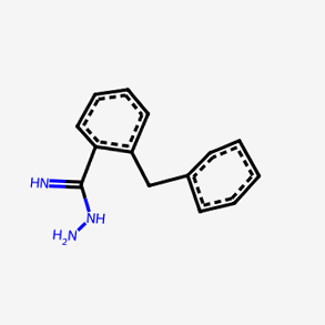 N=C(NN)c1ccccc1Cc1ccccc1